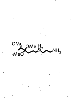 COC(C)C(CCC[SiH2]CCCN)(OC)OC